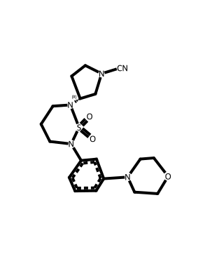 N#CN1CC[C@@H](N2CCCN(c3cccc(N4CCOCC4)c3)S2(=O)=O)C1